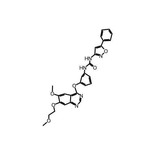 COCCOc1cc2ncnc(Oc3cccc(NC(=O)Nc4cc(-c5ccccc5)on4)c3)c2cc1OC